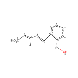 CCOC(=O)/C=C(C)/C=C/c1ccccc1CO